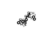 C=C(c1ccc2c(c1)c1cc(C(=O)/C(CCSc3cccc4ccccc34)=N/OC(C)=O)ccc1n2CC)c1ccccc1C